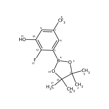 CC1(C)OB(c2cc(C(F)(F)F)cc(O)c2F)OC1(C)C